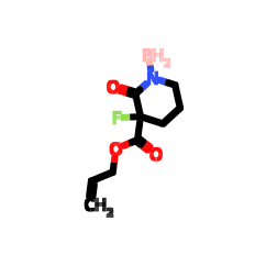 BN1CCCC(F)(C(=O)OCC=C)C1=O